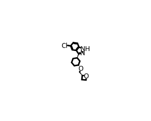 Clc1ccc2[nH]nc([C@@H]3CCC[C@H](OC[C@@H]4CCO4)C3)c2c1